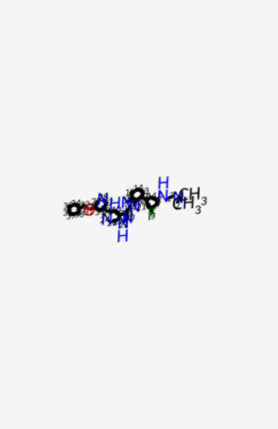 CN(C)CCNc1cc(F)cc(-c2cccc3[nH]c(-c4n[nH]c5cnc(-c6cncc(OCc7ccccc7)c6)cc45)nc23)c1